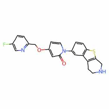 O=c1cc(OCc2ccc(F)cn2)ccn1-c1ccc2sc3c(c2c1)CCNC3